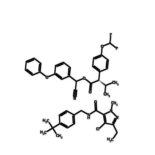 CC(C)[C@H](C(=O)OC(C#N)c1cccc(Oc2ccccc2)c1)c1ccc(OC(F)F)cc1.CCc1nn(C)c(C(=O)NCc2ccc(C(C)(C)C)cc2)c1Cl